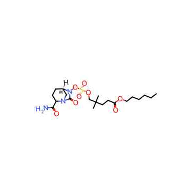 CCCCCCOC(=O)CCC(C)(C)COS(=O)(=O)ON1C(=O)N2C[C@H]1CCC2C(N)=O